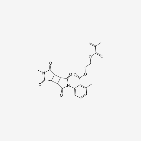 C=C(C)C(=O)OCCOC(=O)c1c(C)cccc1N1C(=O)C2C3C(=O)N(C)C(=O)C3C2C1=O